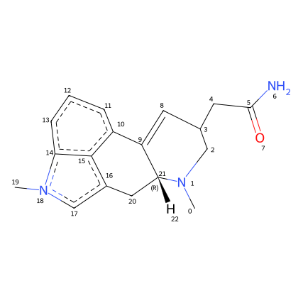 CN1CC(CC(N)=O)C=C2c3cccc4c3c(cn4C)C[C@H]21